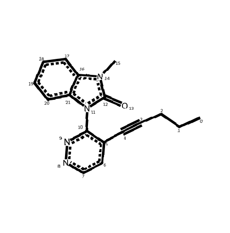 CCCC#Cc1ccnnc1-n1c(=O)n(C)c2ccccc21